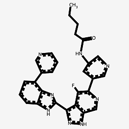 CCCCC(=O)Nc1cncc(-c2ncc3[nH]nc(-c4nc5c(-c6cccnc6)cccc5[nH]4)c3c2F)c1